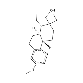 CCC1[C@@H]2CCc3cc(OC)ccc3[C@H]2CCC1(CC)CO